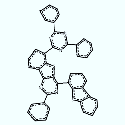 c1ccc(-c2nc(-c3ccccc3)nc(-c3cccc4c3sc3c(-c5cccc6c5sc5ccccc56)nc(-c5ccccc5)nc34)n2)cc1